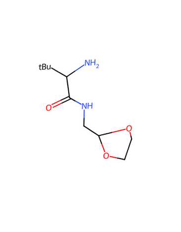 CC(C)(C)C(N)C(=O)NCC1OCCO1